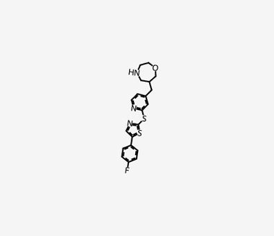 Fc1ccc(-c2cnc(Sc3cc(CC4CNCCOC4)ccn3)s2)cc1